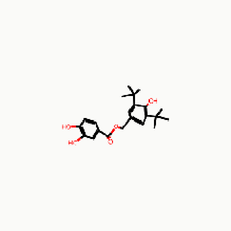 CC(C)(C)c1cc(COC(=O)c2ccc(O)c(O)c2)cc(C(C)(C)C)c1O